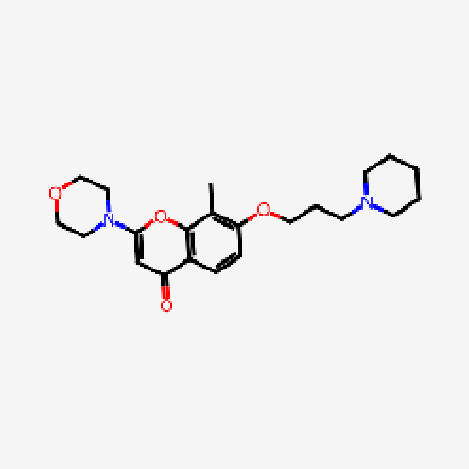 Cc1c(OCCCN2CCCCC2)ccc2c(=O)cc(N3CCOCC3)oc12